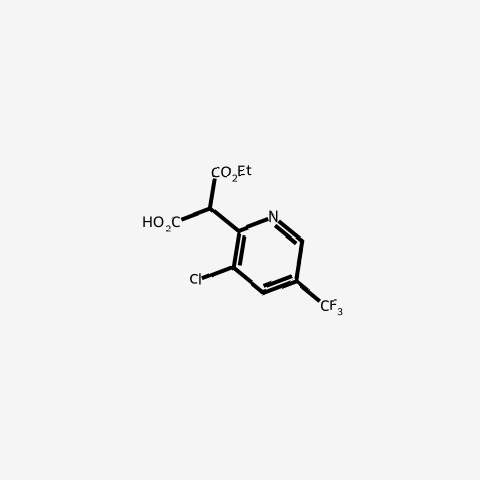 CCOC(=O)C(C(=O)O)c1ncc(C(F)(F)F)cc1Cl